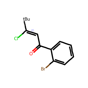 CC(C)(C)/C(Cl)=C/C(=O)c1ccccc1Br